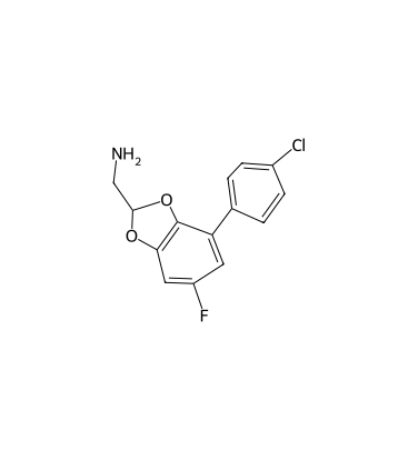 NCC1Oc2cc(F)cc(-c3ccc(Cl)cc3)c2O1